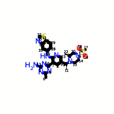 Cc1nc(N)nc(-c2cc([C@@H](C)N3CCN(S(C)(=O)=O)C[C@@H]3C)cnc2Nc2ccc3scnc3c2)n1